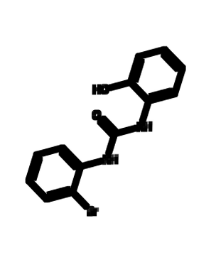 O=C(Nc1ccccc1O)Nc1ccccc1Br